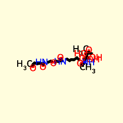 COC(CO)C(O)C(O)C(NC(C)=O)OCCCCCCNC(=O)CCOCCNC(=O)CCCC(C)=O